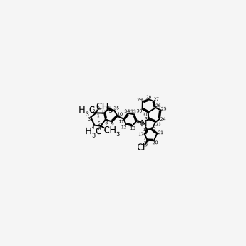 CC1(C)CCC(C)(C)c2cc(-c3ccc(-n4c5cc(Cl)ccc5c5ccc6ccccc6c54)cc3)ccc21